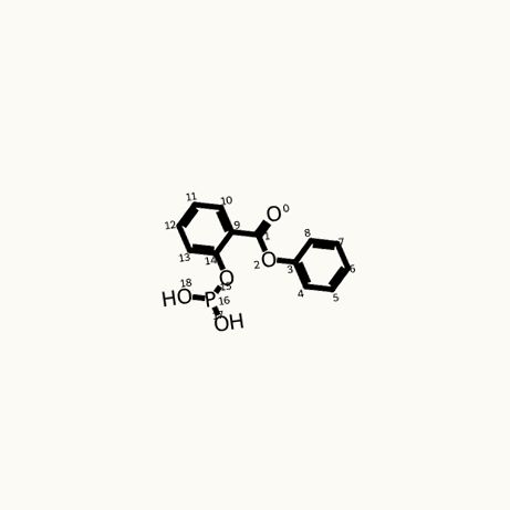 O=C(Oc1ccccc1)c1ccccc1OP(O)O